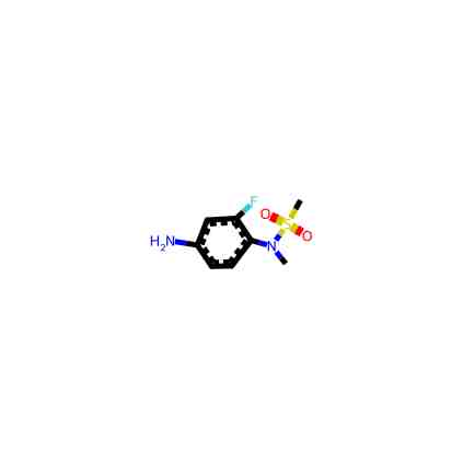 CN(c1ccc(N)cc1F)S(C)(=O)=O